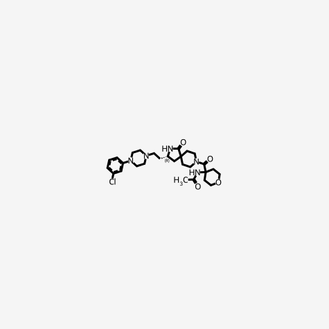 CC(=O)NC1(C(=O)N2CCC3(CC2)C[C@H](CCN2CCN(c4cccc(Cl)c4)CC2)NC3=O)CCOCC1